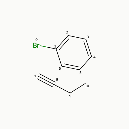 Brc1ccccc1.C#CCC